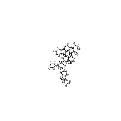 c1ccc(-c2cc(-c3ccc4c(c3)oc3ccccc34)nc(-c3cccc(-n4c5ccccc5c5ccc6c7ccccc7n(-c7ccccc7)c6c54)c3)n2)cc1